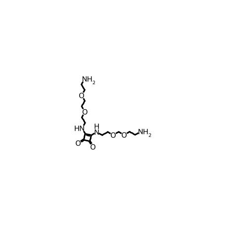 NCCOCCOCCNc1c(NCCOCOCCN)c(=O)c1=O